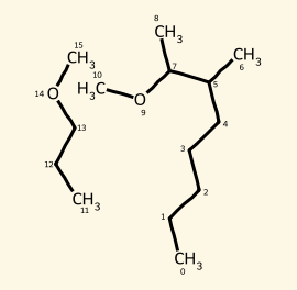 CCCCCC(C)C(C)OC.CCCOC